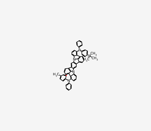 Cc1ccc(N(c2ccccc2)c2cccc3c2c2cccc4c5cc6c(cc5n3c42)c2cccc3c4c(N(c5ccccc5)c5ccc([Si](C)(C)C)cc5)cccc4n6c23)cc1